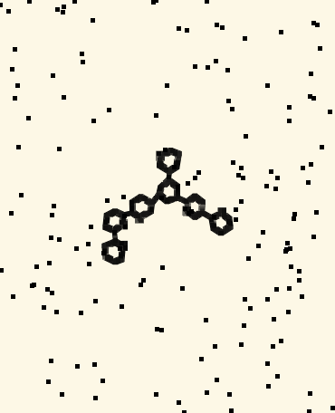 c1ccc(-c2ccc(-c3cc(-c4cccnc4)cc(-c4ccc(-c5cccc(-c6ccccn6)n5)nc4)c3)nc2)nc1